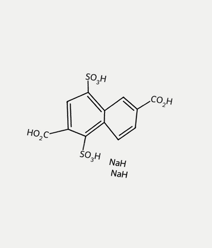 O=C(O)c1ccc2c(S(=O)(=O)O)c(C(=O)O)cc(S(=O)(=O)O)c2c1.[NaH].[NaH]